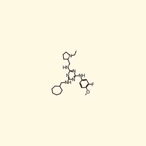 CCN1CCCC1CNc1nc(NCC2CCCCCC2)nc(Nc2ccc(OC)c(F)c2)n1